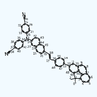 CC1(C)c2cccc3ccc4cc(-c5ccc(/C=C/c6ccc7cc(N(c8ccc(C#N)cc8)c8ccc(C#N)cc8)ccc7c6)cc5)cc1c4c23